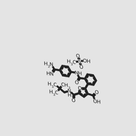 CC(C)(C)CNC(=O)c1cc(C(=O)O)c(-c2ccccc2C(=O)Nc2ccc(C(=N)N)cc2)o1.CS(=O)(=O)O